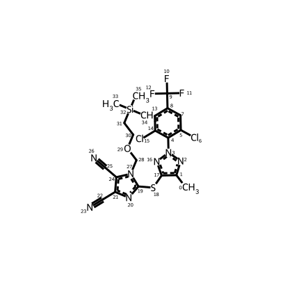 Cc1nn(-c2c(Cl)cc(C(F)(F)F)cc2Cl)nc1Sc1nc(C#N)c(C#N)n1COCC[Si](C)(C)C